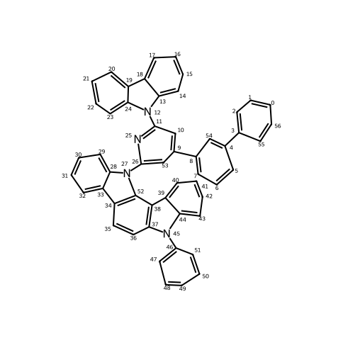 c1ccc(-c2cccc(-c3cc(-n4c5ccccc5c5ccccc54)nc(-n4c5ccccc5c5ccc6c(c7ccccc7n6-c6ccccc6)c54)c3)c2)cc1